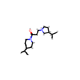 CC(C)C1CCN(C(=O)CCN2CCC(C(C)C)C2)CC1